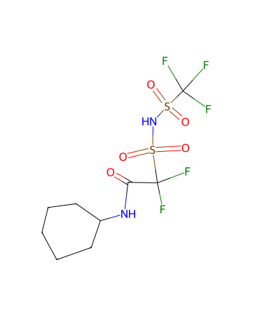 O=C(NC1CCCCC1)C(F)(F)S(=O)(=O)NS(=O)(=O)C(F)(F)F